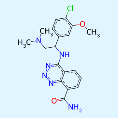 COc1cc(C(CN(C)C)Nc2nnnc3c(C(N)=O)cccc23)ccc1Cl